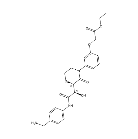 CCOC(=O)COc1cccc(N2CCO[C@H]([C@@H](O)C(=O)Nc3ccc(CN)cc3)C2=O)c1